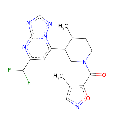 Cc1cnoc1C(=O)N1CCC(C)C(c2cc(C(F)F)nc3ncnn23)C1